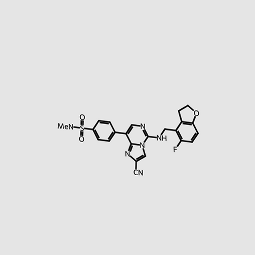 CNS(=O)(=O)c1ccc(-c2cnc(NCc3c(F)ccc4c3CCO4)n3cc(C#N)nc23)cc1